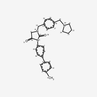 Cc1ccc(-c2ccc(N3C(=O)CN(Cc4ccc(CN5CCCC5)cc4)C3=O)cc2)cc1